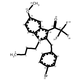 CCCCn1c(Cc2ccc(Br)cc2)c(C(=O)C(F)(F)F)c2cc(OC)ccc21